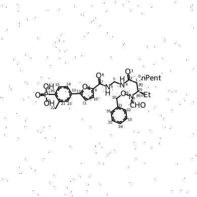 CCCCC[C@@H](C(=O)NCNC(=O)c1ccc(-c2ccc(P(=O)(O)O)c(C)c2)o1)[C@@H](CC)N(C=O)OCc1ccccc1